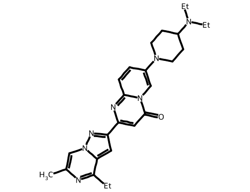 CCc1nc(C)cn2nc(-c3cc(=O)n4cc(N5CCC(N(CC)CC)CC5)ccc4n3)cc12